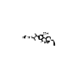 C#CCN1C=CC(c2c(O)cc(C(C)C(C)CCCCC)cc2OC)CC1